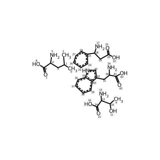 CC(C)CC(N)C(=O)O.CC(O)C(N)C(=O)O.NC(CC(=O)O)c1ccccc1.NC(Cc1c[nH]c2ccccc12)C(=O)O